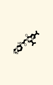 CC(C)c1cc2c(=O)n(CC(=O)Nc3ccc4nncn4c3)nc(C(C)C)n2c1